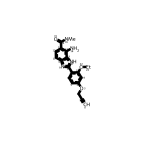 C#CCOc1ccc(-c2nc3ccc(C(=O)NC)c(N)c3[nH]2)c(OCC)c1